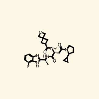 C[C@H](NC(=O)[C@H](CC(=O)N1CCCC1C1CC1)NC(=O)C1CC2(COC2)C1)c1nc2cccc(F)c2[nH]1